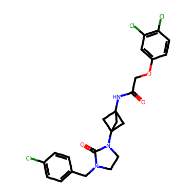 O=C(COc1ccc(Cl)c(Cl)c1)NC12CC(N3CCN(Cc4ccc(Cl)cc4)C3=O)(C1)C2